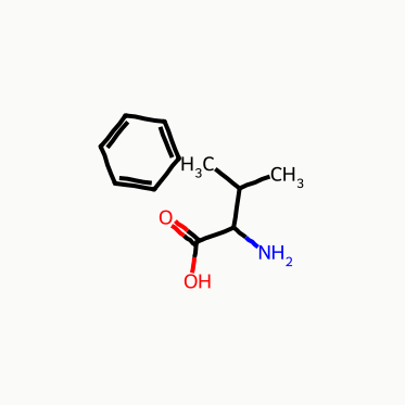 CC(C)C(N)C(=O)O.c1ccccc1